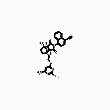 Cc1nc(N)cc(OCC[C@@]23CC[C@@](C)(O2)[C@H]2C(=O)N(c4ccc(C#N)c5ccccc45)C(=O)[C@H]23)n1